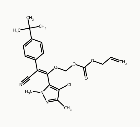 C=CCOC(=O)OCO/C(=C(/C#N)c1ccc(C(C)(C)C)cc1)c1c(Cl)c(C)nn1C